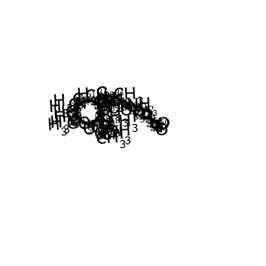 CC[C@H]1OC(=O)[C@H](C)C([C@H]2C[C@@](C)(OC)[C@@H](O)[C@H](C)O2)[C@H](C)[C@@H](O[C@@H]2O[C@H](C)C[C@H](N(C)CCC(=O)N[C@H](CF)Cc3ccc(C4CCS(=O)(=O)C4)cc3)[C@H]2O)[C@](C)(O)C[C@@H](C)CN(C)[C@H](C)[C@@H](O)[C@]1(C)O